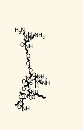 CCCCCC(=O)NC(CS/C(C=O)=C(\SC[C@H](NC(=O)CNC)C(N)=O)C(=O)N(C)CCCOCCOCCOCCCNC(=O)C(CNCCN)CNCCN)C(=O)N(CCC)CC(=O)N(CCC)CC(=O)NC